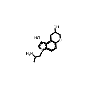 CC(N)Cn1ccc2c3c(ccc21)OCC(O)C3.Cl